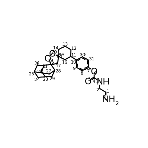 NCCNC(=O)Oc1ccc(C2CCC[C@@]3(C2)CC2(OO3)C3CC4CC(C3)CC2C4)cc1